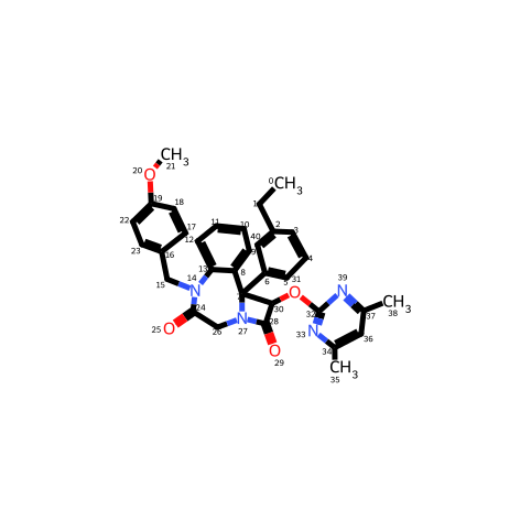 CCc1cccc(C23c4ccccc4N(Cc4ccc(OC)cc4)C(=O)CN2C(=O)C3Oc2nc(C)cc(C)n2)c1